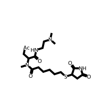 CC(=O)CC(C(=O)NCCN(C)C)N(C)C(=O)CCCCCSC1CC(=O)NC1=O